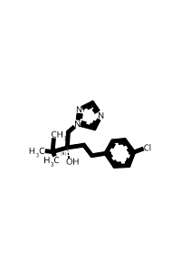 CC(C)(C)[C@](O)(CCc1ccc(Cl)cc1)Cn1cncn1